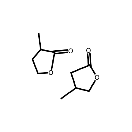 CC1CCOC1=O.CC1COC(=O)C1